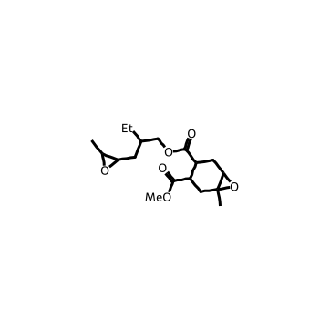 CCC(COC(=O)C1CC2OC2(C)CC1C(=O)OC)CC1OC1C